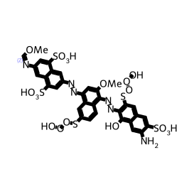 CO/C=N\c1cc(S(=O)(=O)O)c2cc(N=Nc3cc(OC)c(N=Nc4c(SOOO)cc5cc(S(=O)(=O)O)c(N)cc5c4O)c4ccc(SOOO)cc34)cc(S(=O)(=O)O)c2c1